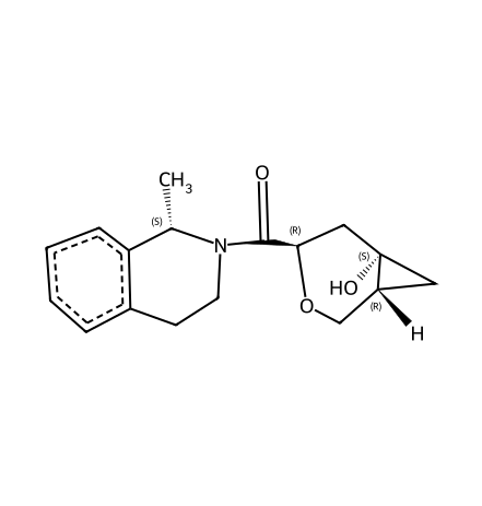 C[C@H]1c2ccccc2CCN1C(=O)[C@H]1C[C@@]2(O)C[C@@H]2CO1